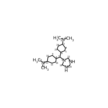 CN(C)C1CCC(C(C2CCC(N(C)C)CC2)N2CNCNC2)CC1